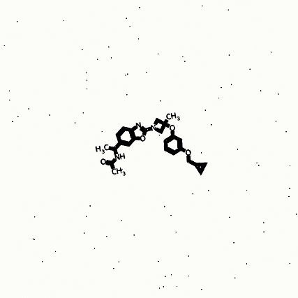 CC(=O)NC(C)c1ccc2nc(N3CC(C)(Oc4cccc(OCC5CC5)c4)C3)oc2c1